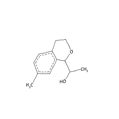 Cc1ccc2c(c1)C(C(C)O)OCC2